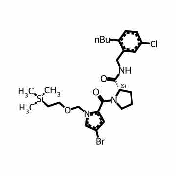 CCCCc1ccc(Cl)cc1CNC(=O)[C@@H]1CCCN1C(=O)c1cc(Br)cn1COCC[Si](C)(C)C